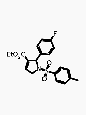 CCOC(=O)C1=CCN(S(=O)(=O)c2ccc(C)cc2)C1c1ccc(F)cc1